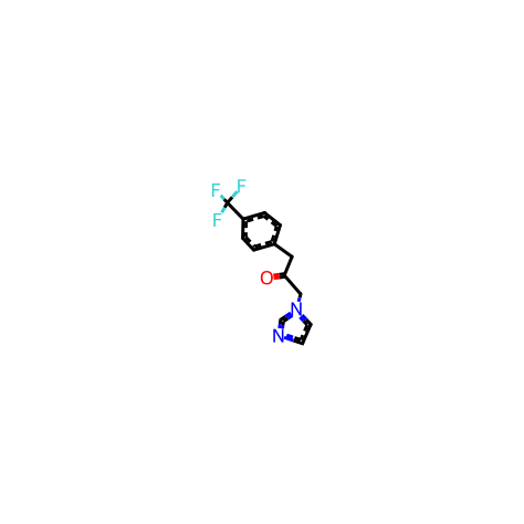 O=C(Cc1ccc(C(F)(F)F)cc1)Cn1ccnc1